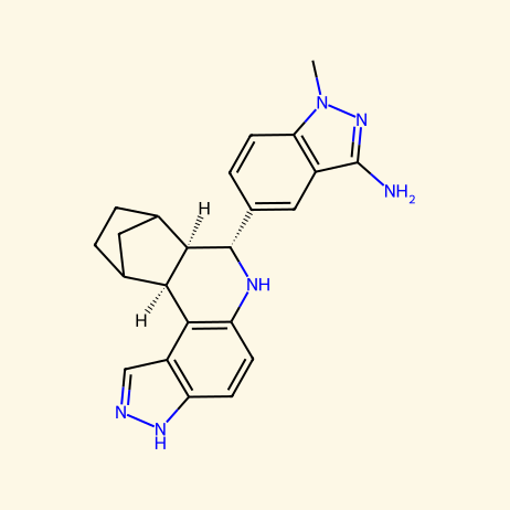 Cn1nc(N)c2cc([C@@H]3Nc4ccc5[nH]ncc5c4[C@H]4C5CCC(C5)[C@@H]34)ccc21